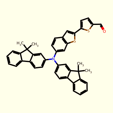 CC1(C)c2ccccc2-c2ccc(N(c3ccc4c(c3)C(C)(C)c3ccccc3-4)c3ccc4cc(-c5ccc(C=O)s5)sc4c3)cc21